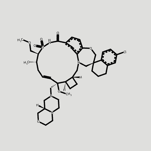 COC[C@@H]1[C@@H](C)C/C=C/[C@](CN2CCN3CCOC[C@@H]3C2)(OC)[C@@H]2CC[C@H]2CN2C[C@@]3(CCCc4cc(Cl)ccc43)COc3ccc(cc32)C(=O)NS1(=O)=O